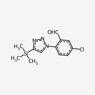 C[Si](C)(C)c1cn(-c2ccc(Cl)cc2C=O)nn1